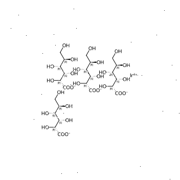 O=C([O-])[C@H](O)[C@@H](O)[C@H](O)[C@H](O)CO.O=C([O-])[C@H](O)[C@@H](O)[C@H](O)[C@H](O)CO.O=C([O-])[C@H](O)[C@@H](O)[C@H](O)[C@H](O)CO.O=C([O-])[C@H](O)[C@@H](O)[C@H](O)[C@H](O)CO.[Ir+4]